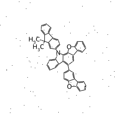 CC1(C)c2ccccc2-c2ccc(-n3c4ccccc4c4c(-c5ccc6oc7ccccc7c6c5)cc5c6ccccc6oc5c43)cc21